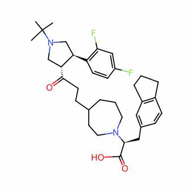 CC(C)(C)N1C[C@@H](C(=O)CCC2CCCN([C@@H](Cc3ccc4c(c3)CCC4)C(=O)O)CC2)[C@H](c2ccc(F)cc2F)C1